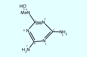 CNc1nc(N)nc(N)n1.Cl